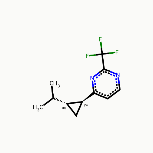 CC(C)[C@H]1C[C@@H]1c1ccnc(C(F)(F)F)n1